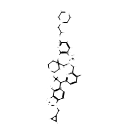 Cc1ccc(C(c2ccc3c(nnn3CC3CC3)c2C)C(C)(C)C(=O)O)nc1CN1CC2(CCOCC2)Oc2nc(OCCN3CCOCC3)ccc2S1(=O)=O